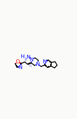 NN1CCN(Cc2cc3c(cn2)CCC3)C/C1=C/Cc1ncco1